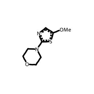 COc1cnc(N2CCOCC2)s1